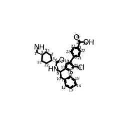 NC[C@H]1CC[C@H](C(=O)NC(Cc2ccccc2)c2cc(-c3ccc(C(=O)O)cc3)c(Cl)s2)CC1